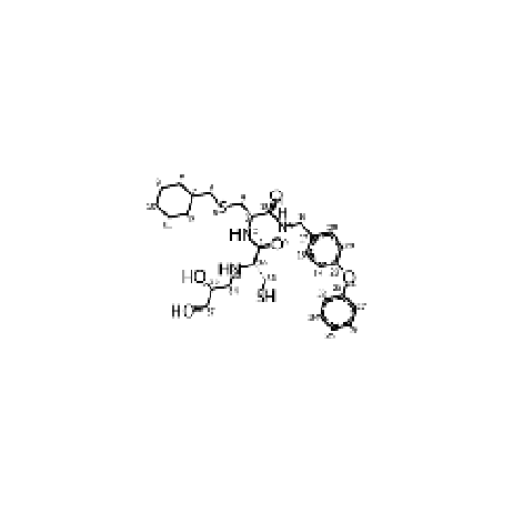 O=C(N[C@@H](CSCC1CCCCC1)C(=O)NCc1ccc(Oc2ccccc2)cc1)[C@H](CS)NCC(O)CO